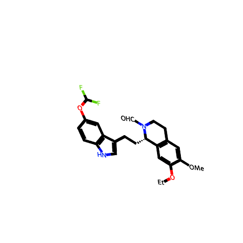 CCOc1cc2c(cc1OC)CCN(C=O)[C@H]2CCc1c[nH]c2ccc(OC(F)F)cc12